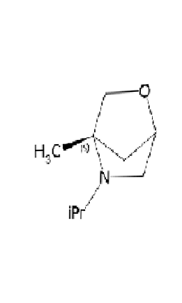 CC(C)N1CC2C[C@@]1(C)CO2